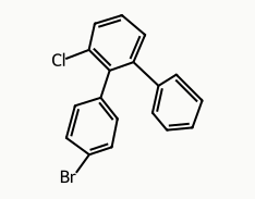 Clc1cccc(-c2ccccc2)c1-c1ccc(Br)cc1